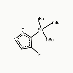 CCC[CH2][Sn]([CH2]CCC)([CH2]CCC)[c]1[nH]ncc1F